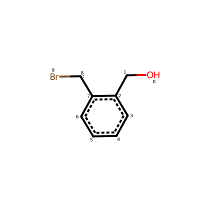 OCc1ccccc1[C]Br